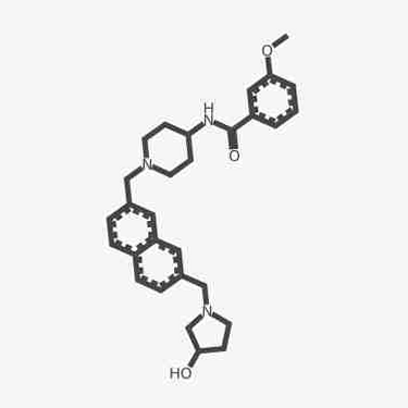 COc1cccc(C(=O)NC2CCN(Cc3ccc4ccc(CN5CCC(O)C5)cc4c3)CC2)c1